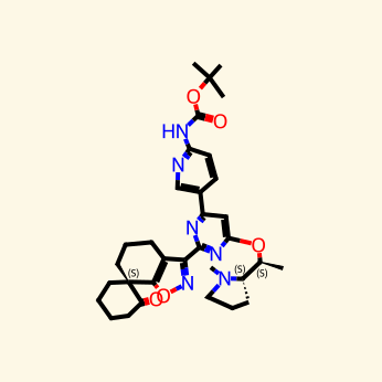 C[C@H](Oc1cc(-c2ccc(NC(=O)OC(C)(C)C)nc2)nc(-c2noc3c2CCC[C@@]32CCCCC2=O)n1)[C@@H]1CCCN1C